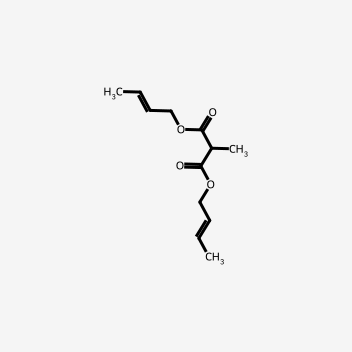 C/C=C/COC(=O)C(C)C(=O)OC/C=C/C